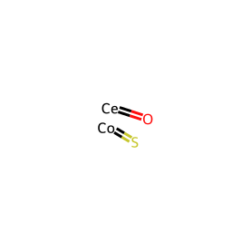 [O]=[Ce].[S]=[Co]